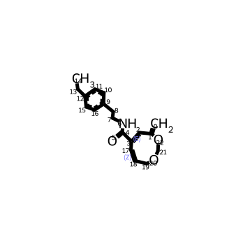 C=C1/C=C(C(=O)NCCc2ccc(CC)cc2)\C=C/COCO1